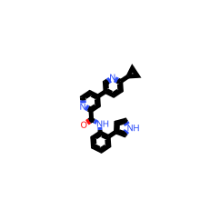 O=C(Nc1ccccc1-c1cc[nH]c1)c1cc(-c2ccc(C3CC3)nc2)ccn1